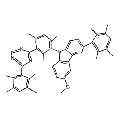 COc1ccc2c(c1)c1cc(-c3c(C)c(C)cc(C)c3C)ccc1n2-c1c(C)cc(C)c(-c2ncnc(-c3c(C)c(C)cc(C)c3C)n2)c1C